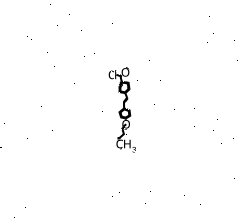 CCCCOc1ccc(C=Cc2ccc(C(=O)Cl)cc2)cc1